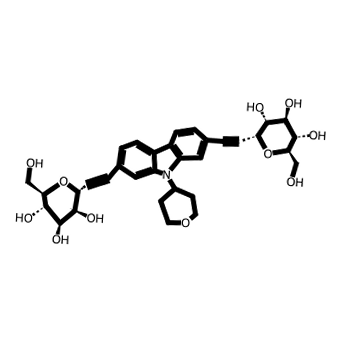 OC[C@H]1O[C@H](C#Cc2ccc3c4ccc(C#C[C@H]5O[C@H](CO)[C@@H](O)[C@H](O)[C@@H]5O)cc4n(C4CCOCC4)c3c2)[C@H](O)[C@@H](O)[C@@H]1O